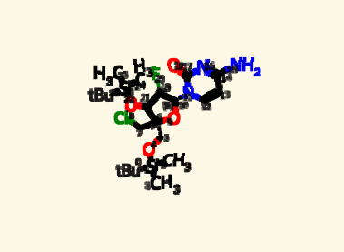 CC(C)(C)[Si](C)(C)OC[C@@]1(CCl)O[C@@H](n2ccc(N)nc2=O)[C@@H](F)C1O[Si](C)(C)C(C)(C)C